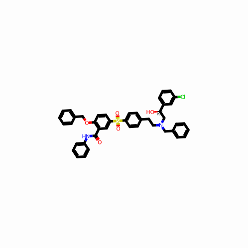 O=C(Nc1ccccc1)c1cc(S(=O)(=O)c2ccc(CCN(Cc3ccccc3)C[C@@H](O)c3cccc(Cl)c3)cc2)ccc1OCc1ccccc1